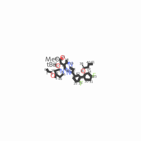 C=CCOC1(C)CCN(c2c([C@H](OC(C)(C)C)C(=O)OC)c(C)nc3cc(-c4ccc(F)c(-c5ccc(F)cc5O[C@@H](C)CC=C)c4)nn23)CC1